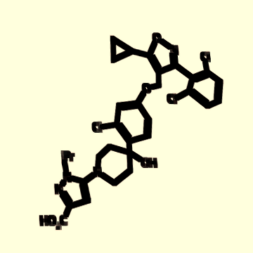 CC(C)n1nc(C(=O)O)cc1N1CCC(O)(c2ccc(OCc3c(-c4c(Cl)cccc4Cl)noc3C3CC3)cc2Cl)CC1